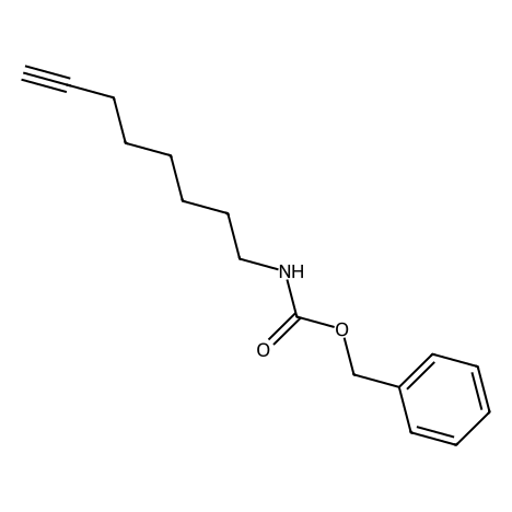 C#CCCCCCCNC(=O)OCc1ccccc1